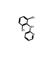 CC(C)c1cccc(C(C)C)c1Nc1ccccn1